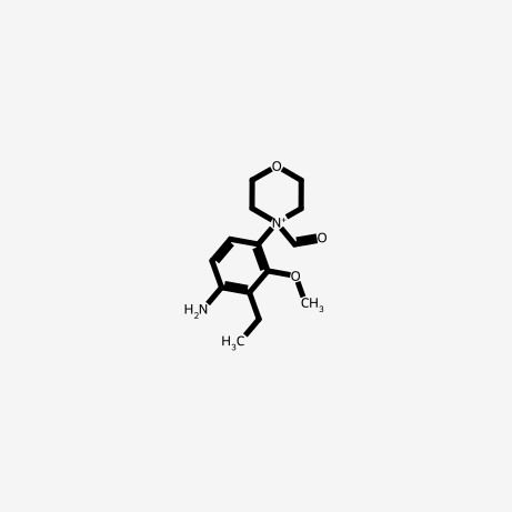 CCc1c(N)ccc([N+]2(C=O)CCOCC2)c1OC